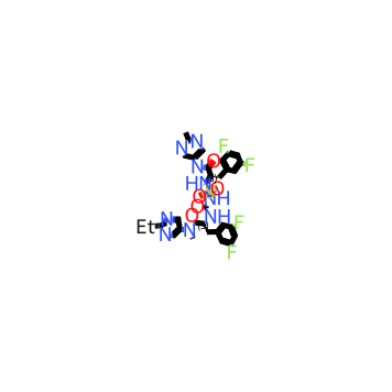 CCc1ncc(N(C)C(=O)[C@H](Cc2cc(F)cc(F)c2)NC(=O)NS(=O)(=O)N[C@@H](Cc2cc(F)cc(F)c2)C(=O)N(C)c2cnc(C)nc2)cn1